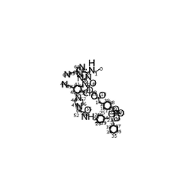 CCNc1nc(N(C(=O)OCOC(=O)Cc2ccc(OP(=O)(OCc3ccccc3)OCc3ccccc3)cc2)c2cc(C#N)cc(N3CCN([C@@H](C)C(N)=O)CC3)c2Cl)nn2c(C#N)cnc12